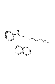 CCCCCCCNc1ccccc1.c1ccc2ccccc2c1